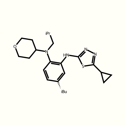 CC[C@@H](C)c1ccc(N(CC(C)C)C2CCOCC2)c(Nc2nnc(C3CC3)s2)c1